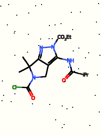 CCOC(=O)n1nc2c(c1NC(=O)C(C)C)CN(C(=O)Cl)C2(C)C